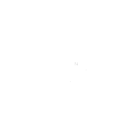 CC=Cc1ccon1